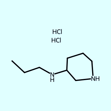 CCCNC1CCCNC1.Cl.Cl